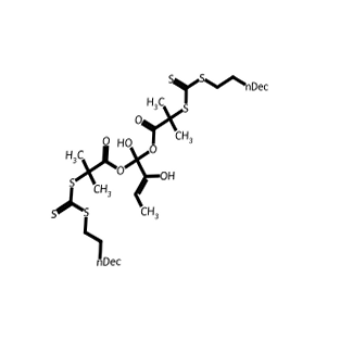 CC=C(O)C(O)(OC(=O)C(C)(C)SC(=S)SCCCCCCCCCCCC)OC(=O)C(C)(C)SC(=S)SCCCCCCCCCCCC